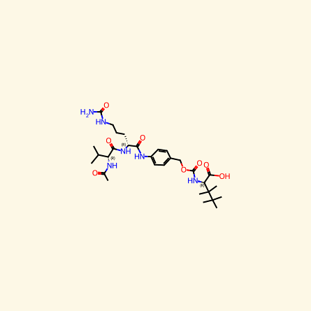 CC(=O)N[C@@H](C(=O)N[C@H](CCCNC(N)=O)C(=O)Nc1ccc(COC(=O)N[C@@H](C(=O)O)C(C)(C)C(C)(C)C)cc1)C(C)C